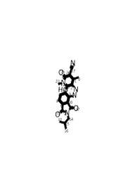 Cc1c(/N=N\c2cccc3c2C(=O)N(CC(C)C)C3=O)c(O)n(C)c(=O)c1C#N